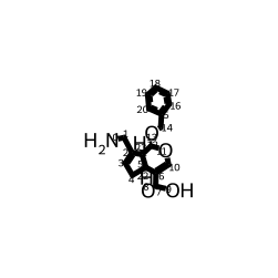 NCC1=CC[C@@H]2C(C(=O)O)=CO[C@@H](OCc3ccccc3)[C@H]12